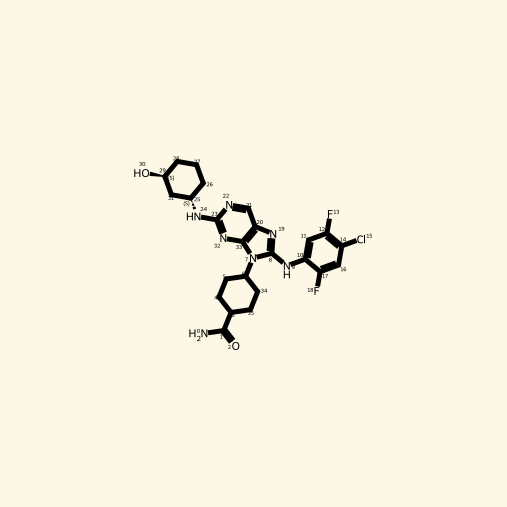 NC(=O)C1CCC(n2c(Nc3cc(F)c(Cl)cc3F)nc3cnc(N[C@H]4CCC[C@H](O)C4)nc32)CC1